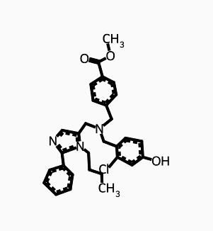 CCCCn1c(CN(Cc2ccc(C(=O)OC)cc2)Cc2ccc(O)cc2Cl)cnc1-c1ccccc1